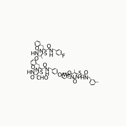 COc1ccc(CNC(=O)c2sc3c(C=O)c(=O)[nH]c(=O)n3c2Cc2ccccc2)cc1.Cc1c(=O)[nH]c(=O)n2c(Cc3ccccc3)c(C(=O)NCc3ccc(F)cc3)sc12.Cc1cccc(CNC(=O)c2cn3c(=O)n(Cc4ccccc4)c(=O)c(C)c3s2)c1